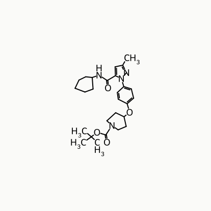 Cc1cc(C(=O)NC2CCCCC2)n(-c2ccc(OC3CCN(C(=O)OC(C)(C)C)CC3)cc2)n1